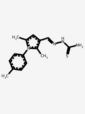 Cc1ccc(-n2c(C)cc(C=NNC(N)=S)c2C)cc1